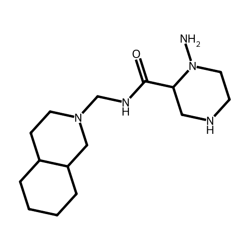 NN1CCNCC1C(=O)NCN1CCC2CCCCC2C1